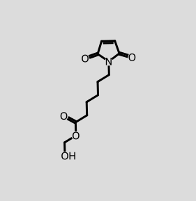 O=C(CCCCCN1C(=O)C=CC1=O)OCO